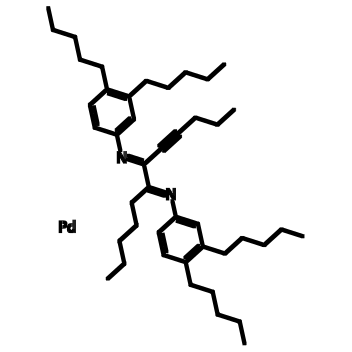 CCCC#CC(=Nc1ccc(CCCCC)c(CCCCC)c1)C(CCCCC)=Nc1ccc(CCCCC)c(CCCCC)c1.[Pd]